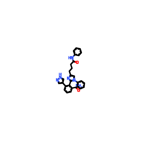 NC(=O)c1cccc(-c2cn[nH]c2)c1-c1nc(CCCC(=O)Nc2ccccc2)cn1-c1ccccc1